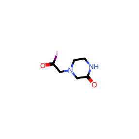 O=C(I)CN1CCNC(=O)C1